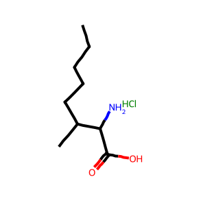 CCCCCC(C)C(N)C(=O)O.Cl